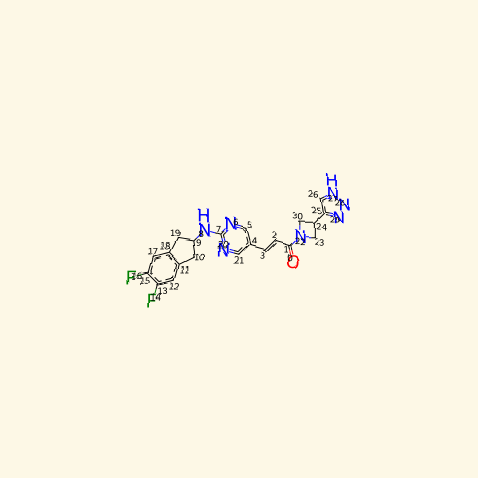 O=C(/C=C/c1cnc(NC2Cc3cc(F)c(F)cc3C2)nc1)N1CC(c2c[nH]nn2)C1